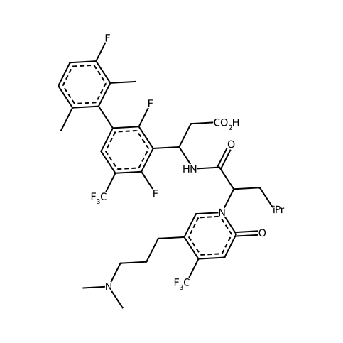 Cc1ccc(F)c(C)c1-c1cc(C(F)(F)F)c(F)c(C(CC(=O)O)NC(=O)C(CC(C)C)n2cc(CCCN(C)C)c(C(F)(F)F)cc2=O)c1F